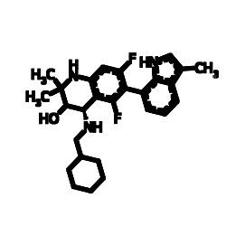 Cc1c[nH]c2c(-c3c(F)cc4c(c3F)[C@H](NCC3CCCCC3)C(O)C(C)(C)N4)cccc12